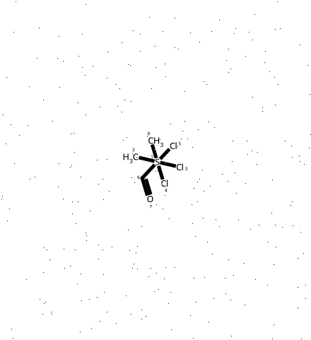 CS(C)(Cl)(Cl)(Cl)[C]=O